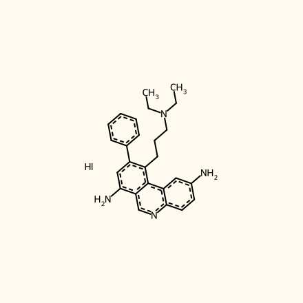 CCN(CC)CCCc1c(-c2ccccc2)cc(N)c2cnc3ccc(N)cc3c12.I